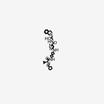 O=C(NC1CC2(C1)CC(Nc1cc(C(=O)NC[C@H](O)CN3CCc4ccccc4C3)ncn1)C2)C(=NOC1CCCC1)C1CC1